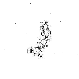 CC(=O)C12CCC(CNC1)N2Cc1ccc([C@H]2COc3cccnc3O2)cc1